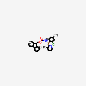 N#Cc1cc(Cl)c(Sc2ncccc2C=O)c(CNC(=O)OCC2c3ccccc3-c3ccccc32)c1